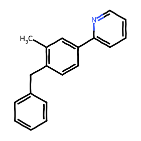 Cc1cc(-c2ccccn2)ccc1Cc1ccccc1